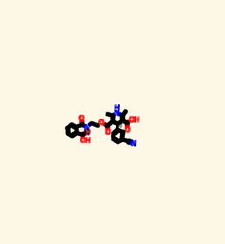 CC1=C(C(=O)O)[C@@H](c2cccc(C#N)c2)C(C(=O)OCCNC(=O)c2ccccc2C(=O)O)=C(C)N1